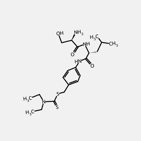 CCN(CC)C(=S)SCc1ccc(NC(=O)[C@@H](CC(C)C)NC(=O)[C@H](N)CO)cc1